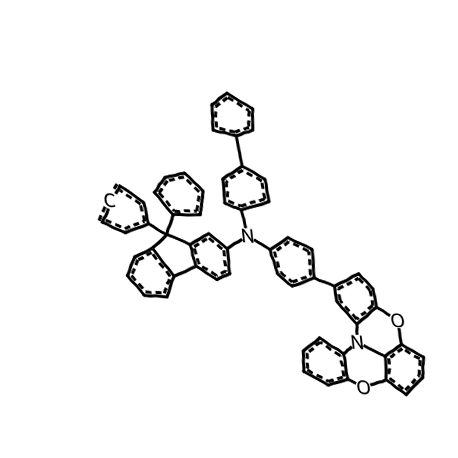 c1ccc(-c2ccc(N(c3ccc(-c4ccc5c(c4)N4c6ccccc6Oc6cccc(c64)O5)cc3)c3ccc4c(c3)C(c3ccccc3)(c3ccccc3)c3ccccc3-4)cc2)cc1